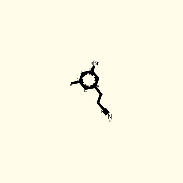 Cc1cc(Br)cc([CH]CC#N)c1